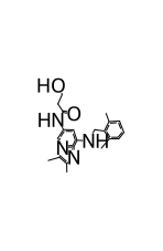 Cc1cccc(C)c1CNc1cc(NC(=O)CCO)cn2c(C)c(C)nc12